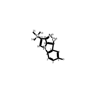 Cc1ccc2c(c1)c1onc3c([Si](C)(C)C)cn2c31